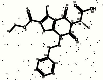 CCOC(=O)c1sc2c(c1C)c(=O)n([C@@H](C)C(=O)O)c(=O)n2CCc1ccccc1